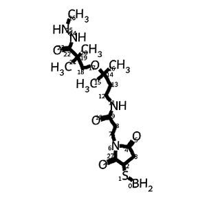 BSC1CC(=O)N(CCC(=O)NCCC(C)(C)OCC(C)(C)C(=O)NNC)C1=O